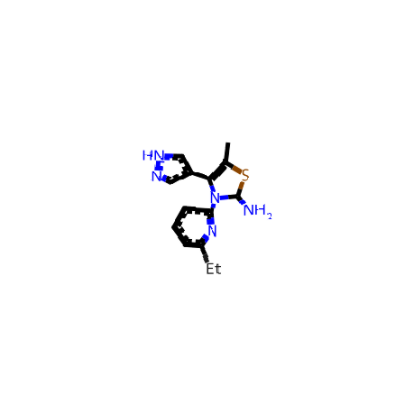 CCc1cccc(N2C(c3cn[nH]c3)=C(C)SC2N)n1